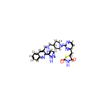 O=C1NC(=O)C(=Cc2ccnc(N3CCC(CNCc4cc5ccccc5nc4-c4ccn[nH]4)CC3)n2)S1